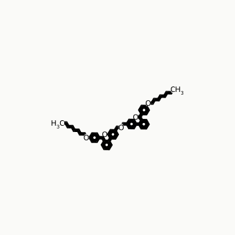 CCCCCCCCOc1ccc(C(=O)c2ccccc2-c2ccc(COCc3ccc(-c4ccccc4C(=O)c4ccc(OCCCCCCCC)cc4)cc3)cc2)cc1